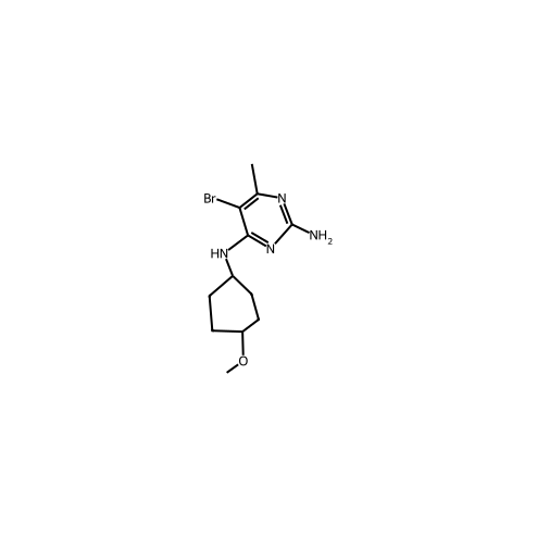 COC1CCC(Nc2nc(N)nc(C)c2Br)CC1